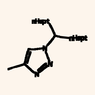 CCCCCCCC(CCCCCCC)n1cc(C)nn1